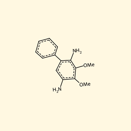 COc1c(N)cc(-c2ccccc2)c(N)c1OC